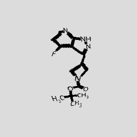 CC(C)(C)OC(=O)N1CC(c2n[nH]c3nccc(F)c23)C1